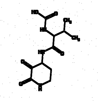 CC(C)C(NC(=O)O)C(=O)NC1CCNC(=O)C1=O